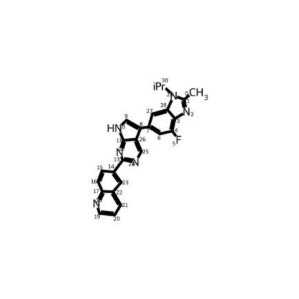 Cc1nc2c(F)cc(-c3c[nH]c4nc(-c5ccc6ncccc6c5)ncc34)cc2n1C(C)C